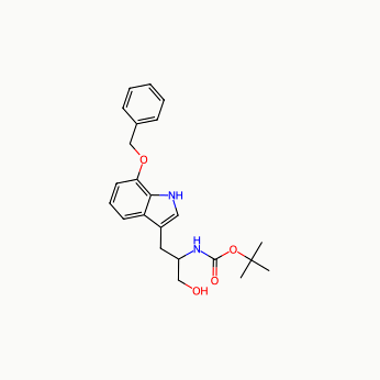 CC(C)(C)OC(=O)NC(CO)Cc1c[nH]c2c(OCc3ccccc3)cccc12